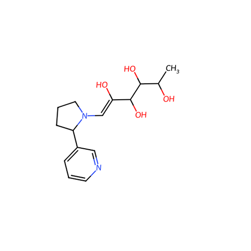 CC(O)C(O)C(O)/C(O)=C/N1CCCC1c1cccnc1